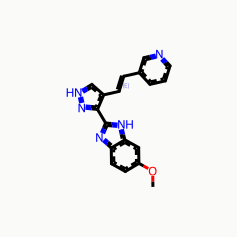 COc1ccc2nc(-c3n[nH]cc3/C=C/c3cccnc3)[nH]c2c1